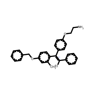 CC/C(=C(/c1ccc(OCCN)cc1)c1ccc(OCc2ccccc2)cc1C)c1ccccc1